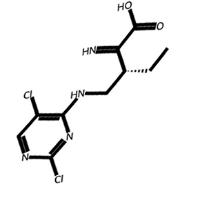 CC[C@H](CNc1nc(Cl)ncc1Cl)C(=N)C(=O)O